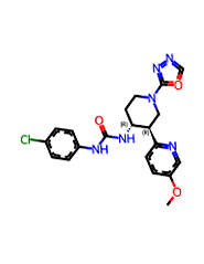 COc1ccc([C@@H]2CN(c3nnco3)CC[C@H]2NC(=O)Nc2ccc(Cl)cc2)nc1